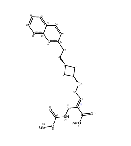 COC(=O)/C(=C/CO[C@H]1C[C@@H](CCc2ccc3cccnc3n2)C1)SNC(=O)OC(C)(C)C